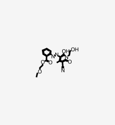 CCOCCOC(=O)c1ccccc1/N=N/c1c(C)c(C#N)c(=O)n(CCO)c1O